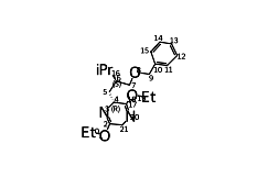 CCOC1=N[C@H](C[C@H](COCc2ccccc2)C(C)C)C(OCC)=NC1